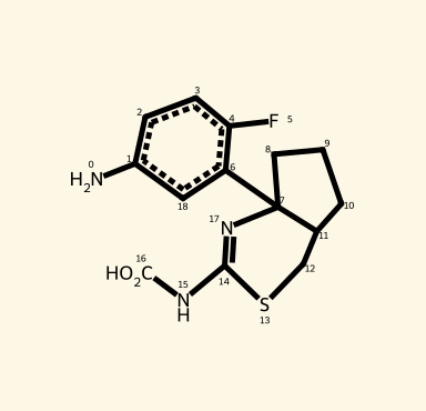 Nc1ccc(F)c(C23CCCC2CSC(NC(=O)O)=N3)c1